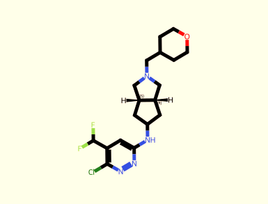 FC(F)c1cc(NC2C[C@@H]3CN(CC4CCOCC4)C[C@@H]3C2)nnc1Cl